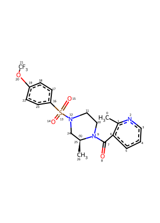 Cc1ncccc1C(=O)N1CCN(S(=O)(=O)c2ccc(OC(F)(F)F)cc2)C[C@@H]1C